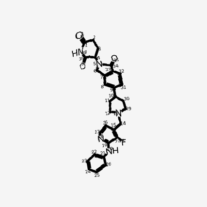 O=C1CCC(N2Cc3cc(C4CCN(Cc5ccnc(Nc6ccccc6)c5F)CC4)ccc3C2=O)C(=O)N1